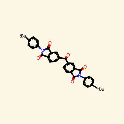 CC(C)(C)c1ccc(N2C(=O)c3ccc(C(=O)c4ccc5c(c4)C(=O)N(c4ccc(C(C)(C)C)cc4)C5=O)cc3C2=O)cc1